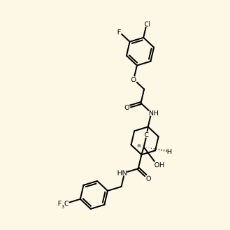 O=C(COc1ccc(Cl)c(F)c1)NC12CCC(C(=O)NCc3ccc(C(F)(F)F)cc3)(CC1)[C@H](O)C2